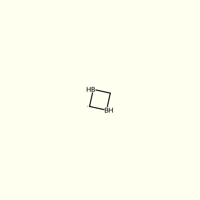 B1[CH]BC1